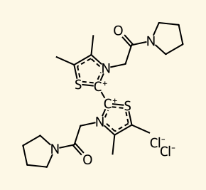 Cc1s[c+](-[c+]2sc(C)c(C)n2CC(=O)N2CCCC2)n(CC(=O)N2CCCC2)c1C.[Cl-].[Cl-]